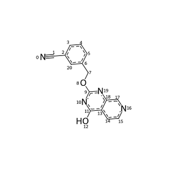 N#Cc1cccc(COc2nc(O)c3ccncc3n2)c1